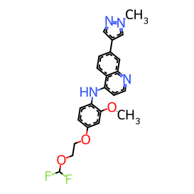 COc1cc(OCCOC(F)F)ccc1Nc1ccnc2cc(-c3cnn(C)c3)ccc12